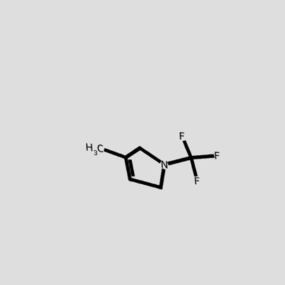 CC1=CCN(C(F)(F)F)C1